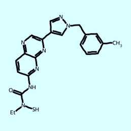 CCN(S)C(=O)Nc1ccc2ncc(-c3cnn(Cc4cccc(C)c4)c3)nc2n1